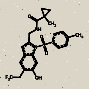 Cc1ccc(S(=O)(=O)n2c(CNC(=O)C3(C)CC3)cc3cc(CC(F)(F)F)c(O)cc32)cc1